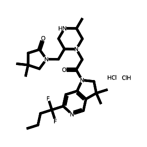 CCCC(F)(F)c1cc2c(cn1)C(C)(C)CN2C(=O)CN1CC(C)NCC1CN1CC(C)(C)CC1=O.Cl.Cl